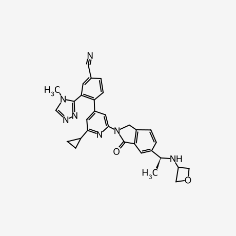 C[C@H](NC1COC1)c1ccc2c(c1)C(=O)N(c1cc(-c3ccc(C#N)cc3-c3nncn3C)cc(C3CC3)n1)C2